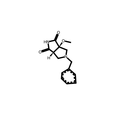 CO[C@@]12CN(Cc3ccccc3)C[C@@H]1C(=O)NC2=O